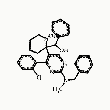 CN(Cc1ccccc1)c1ncc(C2(C(O)c3ccccc3)CCCCN2C=O)c(-c2ccccc2Cl)n1